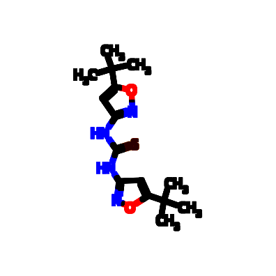 CC(C)(C)c1cc(NC(=S)Nc2cc(C(C)(C)C)on2)no1